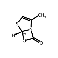 CC1=CS[C@H]2OC(=O)N12